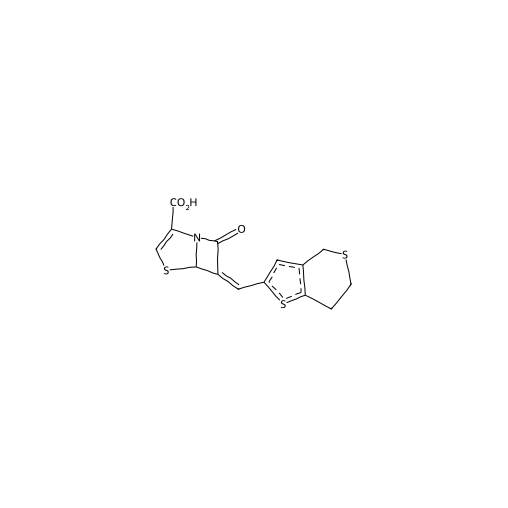 O=C(O)C1=CSC2C(=Cc3cc4c(s3)CCSC4)C(=O)N12